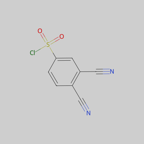 N#Cc1ccc(S(=O)(=O)Cl)cc1C#N